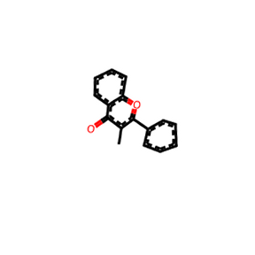 Cc1c(-c2ccccc2)oc2ccccc2c1=O